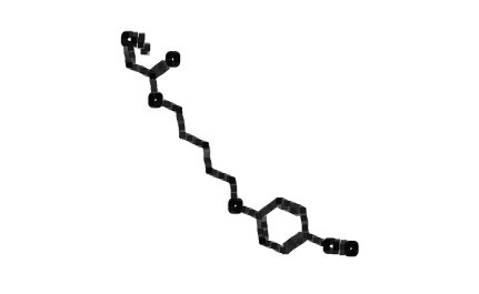 C=CC(=O)OCCCCCOc1ccc(C=O)cc1